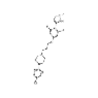 CCc1cnc(N2CCC(CCCOc3cc(F)c(C4=CC[C@H](C)N4)c(F)c3)CC2)nc1